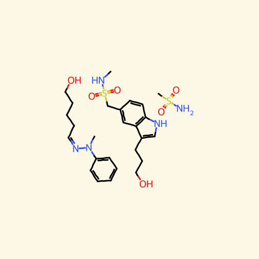 CN(/N=C\CCCCO)c1ccccc1.CNS(=O)(=O)Cc1ccc2[nH]cc(CCCO)c2c1.CS(N)(=O)=O